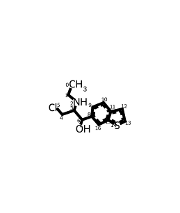 CCNC(CCl)C(O)c1ccc2ccsc2c1